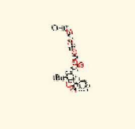 CC(C)(C)c1cc(CCC(=O)OCCOCCOCCOC=O)cc2c1OC(=O)C2c1ccccc1